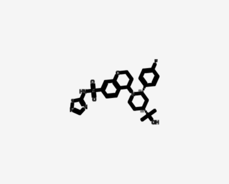 CC(C)(O)[C@@H]1CCN(C2CCOc3cc(S(=O)(=O)Nc4ncns4)ccc32)[C@H](c2ccc(F)cc2)C1